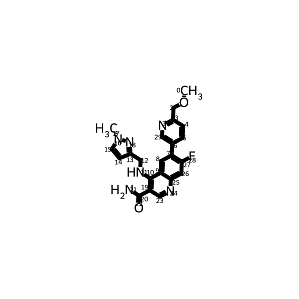 COCc1ccc(-c2cc3c(NCc4ccn(C)n4)c(C(N)=O)cnc3cc2F)cn1